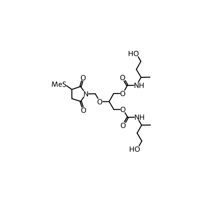 CSC1CC(=O)N(COC(COC(=O)NC(C)CCO)COC(=O)NC(C)CCO)C1=O